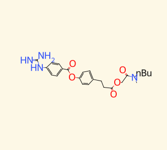 CCCCN(C)C(=O)COC(=O)CCc1ccc(OC(=O)c2ccc(NC(=N)N)cc2)cc1